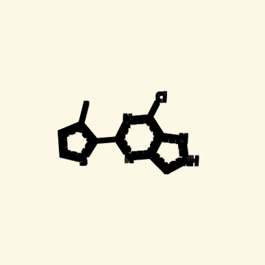 Cc1ccsc1-c1nc(Cl)c2n[nH]cc2n1